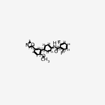 COc1ccc(-c2cnco2)cc1-c1ccc(NC(=O)c2c(F)cccc2F)cc1